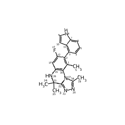 Cc1c(-c2cccc3[nH]ccc23)c(F)cc2c1-n1c(C)nnc1C(C)(C)N2